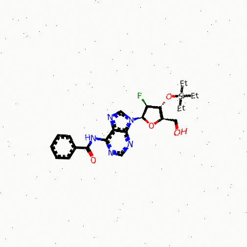 CC[Si](CC)(CC)O[C@H]1[C@H](F)[C@H](n2cnc3c(NC(=O)c4ccccc4)ncnc32)O[C@@H]1CO